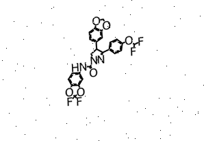 O=C(Nc1ccc2c(c1)OC(F)(F)O2)N1CC(c2ccc3c(c2)OCO3)C(c2ccc(OC(F)F)cc2)=N1